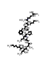 Cc1cccc(C[C@H](NC(=O)[C@@H]2CCCN2C(=O)/C(CCCN)=N/C(=O)CNC(=O)[C@H](C)NC(=O)[C@@H](NC(=O)[C@@H](N)CCCCN)[C@@H](O)CN)C(=O)N[C@@H](CCCCN)C(=O)N/C(=C\CCNC(=N)N)C(=O)O)c1